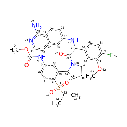 COC(=O)Nc1ccc(S(=O)(=O)C(C)C)c(C2CCCN2C(=O)C(Nc2ccc3c(N)nccc3c2)c2ccc(F)c(OC)c2)c1